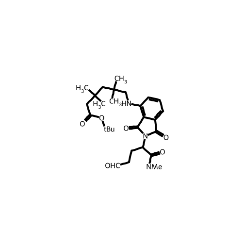 CNC(=O)C(CCC=O)N1C(=O)c2cccc(NCC(C)(C)CC(C)(C)CC(=O)OC(C)(C)C)c2C1=O